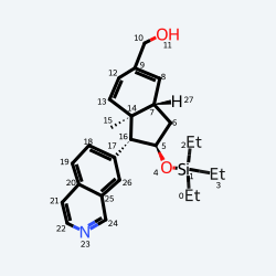 CC[Si](CC)(CC)O[C@@H]1C[C@H]2C=C(CO)C=C[C@]2(C)[C@H]1c1ccc2ccncc2c1